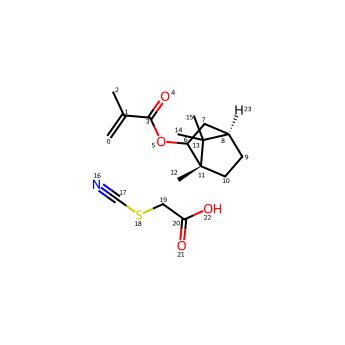 C=C(C)C(=O)OC1C[C@H]2CC[C@@]1(C)C2(C)C.N#CSCC(=O)O